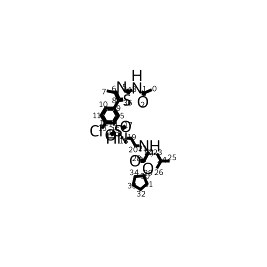 CC(=O)Nc1nc(C)c(-c2ccc(Cl)c(S(=O)(=O)NCCN[C@H](CC(C)C)C(=O)OC3CCCC3)c2)s1